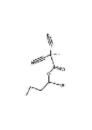 CCCC(O)OC(=O)C(C)(C#N)C#N